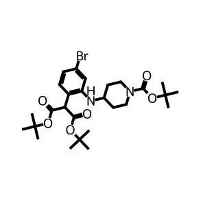 CC(C)(C)OC(=O)C(C(=O)OC(C)(C)C)c1ccc(Br)cc1NC1CCN(C(=O)OC(C)(C)C)CC1